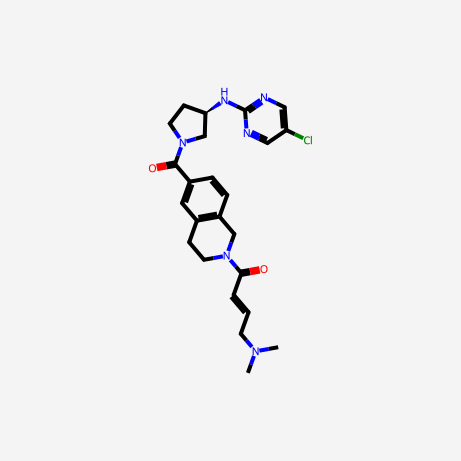 CN(C)C/C=C/C(=O)N1CCc2cc(C(=O)N3CC[C@@H](Nc4ncc(Cl)cn4)C3)ccc2C1